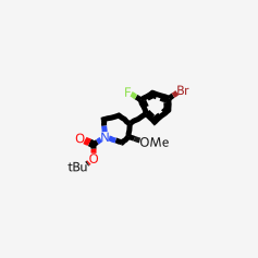 COC1CN(C(=O)OC(C)(C)C)CCC1c1ccc(Br)cc1F